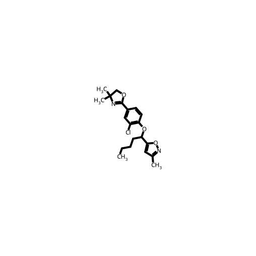 CCCCC(Oc1ccc(C2=NC(C)(C)CO2)cc1Cl)c1cc(C)no1